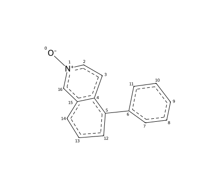 [O-][n+]1ccc2c(-c3ccccc3)cccc2c1